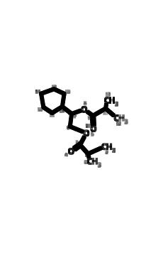 CC(C)C(=O)OC[C](OC(=O)C(C)C)C1CCCCC1